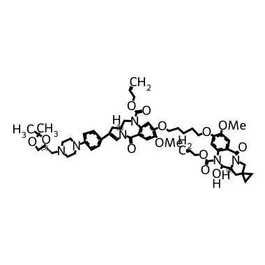 C=CCOC(=O)N1C[C@@H]2CC(c3ccc(N4CCN(C[C@H]5COC(C)(C)O5)CC4)cc3)=CN2C(=O)c2cc(OC)c(OCCCCCOc3cc4c(cc3OC)C(=O)N3CC5(CC5)C[C@H]3C(O)N4C(=O)OCC=C)cc21